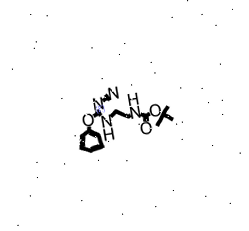 CC(C)(C)OC(=O)NCCN/C(=N\C#N)Oc1ccccc1